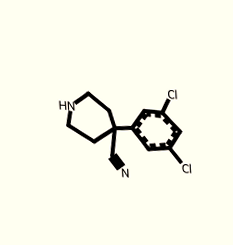 N#CC1(c2cc(Cl)cc(Cl)c2)CCNCC1